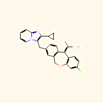 CC(C#N)=C1c2ccc(Cc3c(C4CC4)nc4ccccn34)cc2COc2cc(F)ccc21